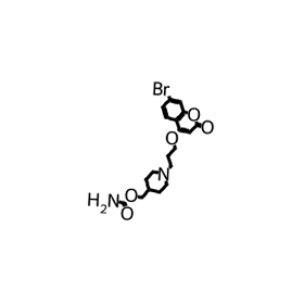 NC(=O)OCC1CCN(CCCOc2cc(=O)oc3cc(Br)ccc23)CC1